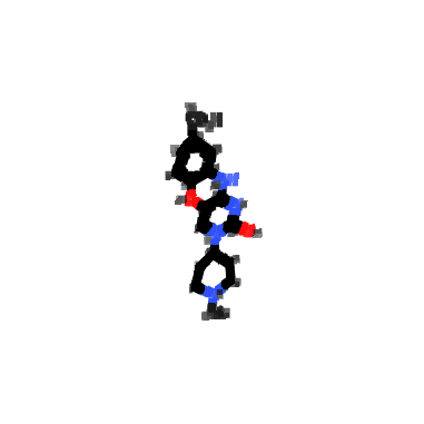 CCCCN1CCC(n2cc3c(nc2=O)Nc2cc(C(=O)O)ccc2O3)CC1